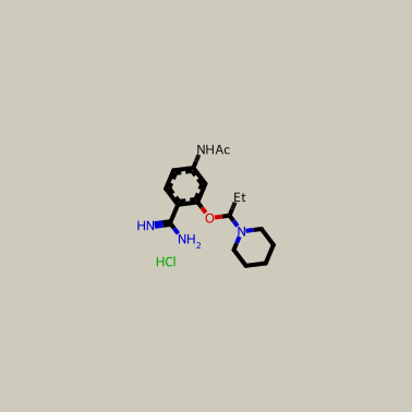 CCC(Oc1cc(NC(C)=O)ccc1C(=N)N)N1CCCCC1.Cl